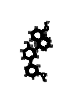 COc1[c]ccc(C2=NN(c3ncnc4c(OC)cccc34)C(C)CC2)c1